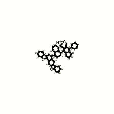 C/C=c1/c(-c2ccccc2)c2ccccc2c(-c2ccc(-c3cc4c5ccccc5oc4c4cc5oc6ccccc6c5cc34)c3ccccc23)/c1=C/C